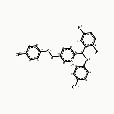 Fc1ccc(F)c(C(Sc2ccc(Cl)cc2)c2ccc(CSc3ccc(Cl)cc3)cn2)c1